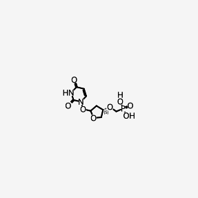 O=c1ccn(OC2C[C@H](OCP(=O)(O)O)CO2)c(=O)[nH]1